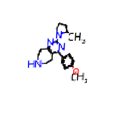 COc1ccc(-c2nc(N3CCCC3C)nc3c2CCNCC3)cc1